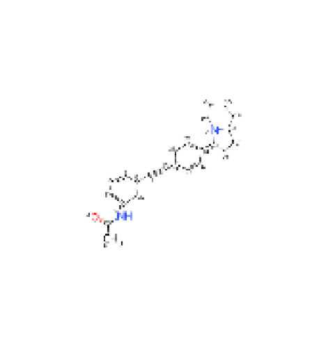 CC(=O)Nc1cccc(C#Cc2ccc(C3CCC4CCCCN43)cc2)c1